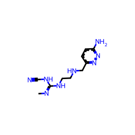 C/N=C(\NC#N)NCCNCc1ccc(N)nn1